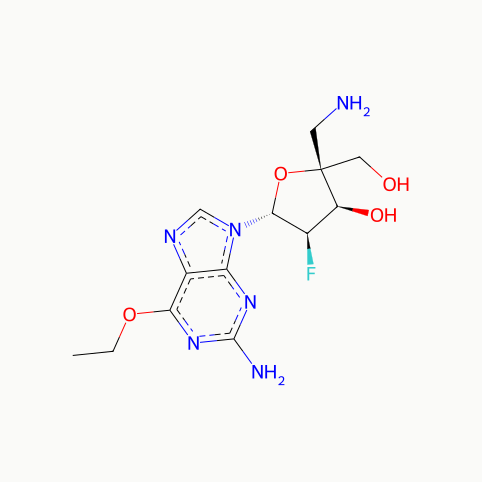 CCOc1nc(N)nc2c1ncn2[C@@H]1O[C@](CN)(CO)[C@@H](O)[C@H]1F